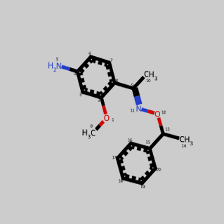 COc1cc(N)ccc1/C(C)=N/OC(C)c1ccccc1